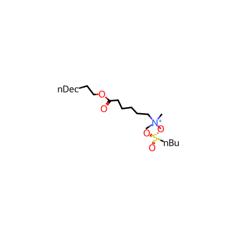 CCCCCCCCCCCCOC(=O)CCCCC[N+](C)(C)OS(=O)(=O)CCCC